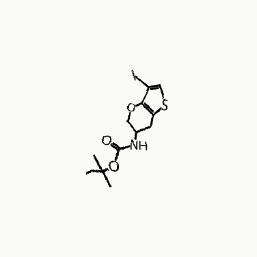 CC(C)(C)OC(=O)NC1COc2c(I)csc2C1